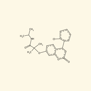 CC(C)NC(=O)C(C)(C)Oc1ccc2c(-c3ccccc3Cl)cc(=O)oc2c1